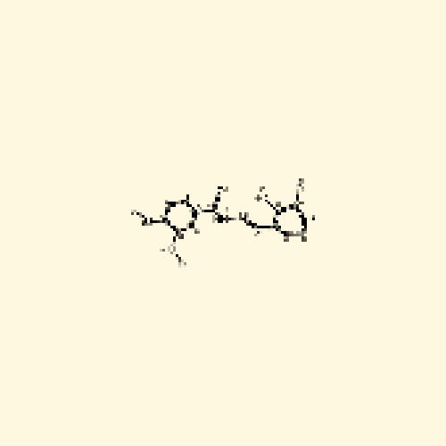 COc1ccc(C(=O)NN=Cc2cccc(O)c2O)cc1OC